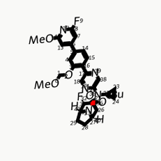 COCOc1cc(-c2cc(F)nc(OC)c2)ccc1-c1cnc(N(C2CC2)[C@@H]2C[C@H]3CC[C@@H]([C@@H]2F)N3C(=O)OC(C)(C)C)cn1